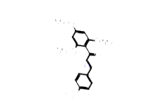 COc1cc(OC)c(C(=O)/C=C/c2ccc(C(F)(F)F)cc2)c(OC)c1